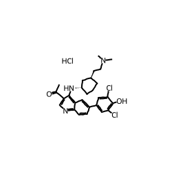 CC(=O)c1cnc2ccc(-c3cc(Cl)c(O)c(Cl)c3)cc2c1N[C@H]1CCC[C@H](CCN(C)C)C1.Cl